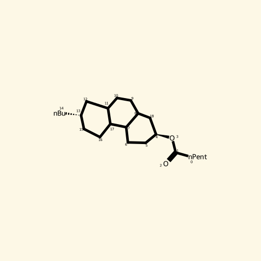 CCCCCC(=O)O[C@H]1CCC2C(CCC3C[C@@H](CCCC)CCC32)C1